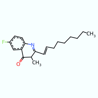 CCCCCCCC=CC1=Nc2ccc(F)cc2C(=O)C1C